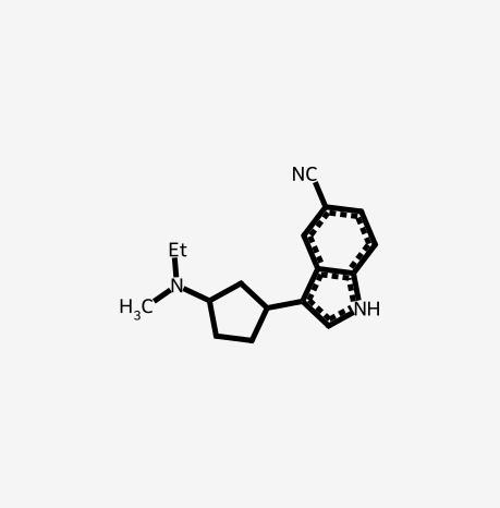 CCN(C)C1CCC(c2c[nH]c3ccc(C#N)cc23)C1